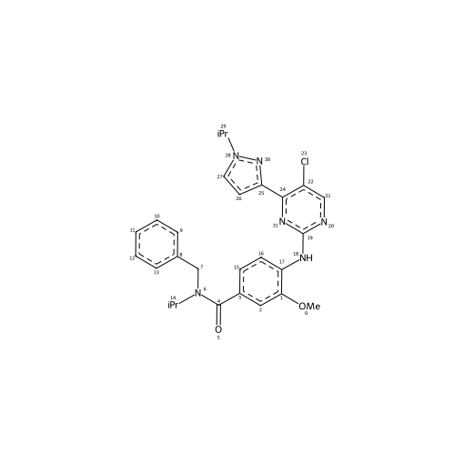 COc1cc(C(=O)N(Cc2ccccc2)C(C)C)ccc1Nc1ncc(Cl)c(-c2ccn(C(C)C)n2)n1